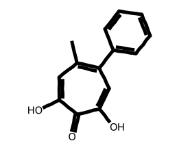 Cc1cc(O)c(=O)c(O)cc1-c1ccccc1